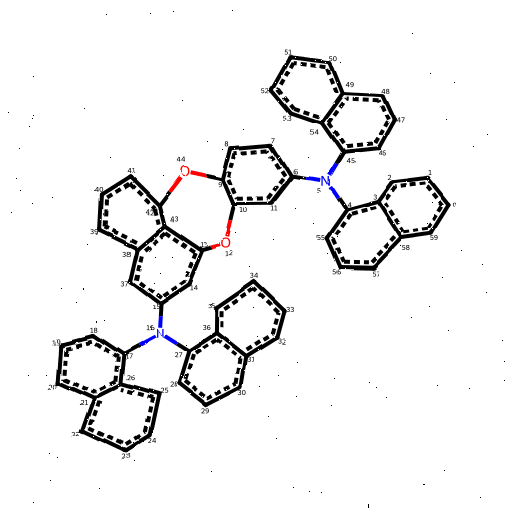 c1ccc2c(N(c3ccc4c(c3)Oc3cc(N(c5cccc6ccccc56)c5cccc6ccccc56)cc5cccc(c35)O4)c3cccc4ccccc34)cccc2c1